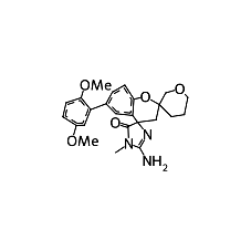 COc1ccc(OC)c(-c2ccc3c(c2)C2(CC4(CCCOC4)O3)N=C(N)N(C)C2=O)c1